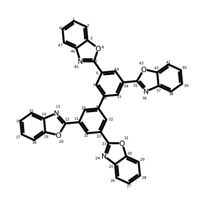 c1ccc2oc(-c3cc(-c4cc(-c5nc6ccccc6o5)cc(-c5nc6ccccc6o5)c4)cc(-c4nc5ccccc5o4)c3)nc2c1